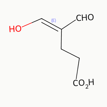 O=C/C(=C/O)CCC(=O)O